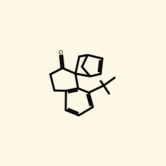 CC(C)(C)c1cccc2c1C1(CC3C=CC1C3)C(=O)CC2